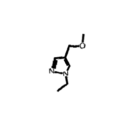 CCn1cc(COC)cn1